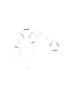 Cc1ccc(S(=O)(=O)NCCc2ccccc2)c(C(=O)[C@H](C)[C@H]2NC(=O)[C@@H]2[C@@H](C)O[Si](C)(C)C(C)(C)C)c1